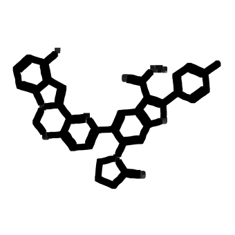 CNC(=O)c1c(-c2ccc(C)cc2)oc2cc(N3CCCC3=O)c(-c3ccc4c(n3)-c3cc5c(F)cccc5n3CO4)cc12